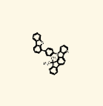 CC1(C)c2ccccc2-c2ccc3c4ncccc4n(-c4ccc(-c5cccc6c5sc5ccccc56)cc4)c3c21